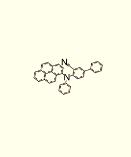 N#Cc1cc(-c2ccccc2)ccc1N(c1ccccc1)c1ccc2ccc3cccc4ccc1c2c34